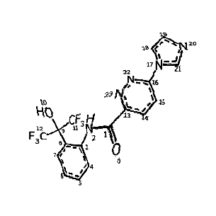 O=C(Nc1ccccc1C(O)(C(F)(F)F)C(F)(F)F)c1ccc(-n2ccnc2)nn1